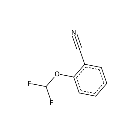 N#Cc1ccccc1OC(F)F